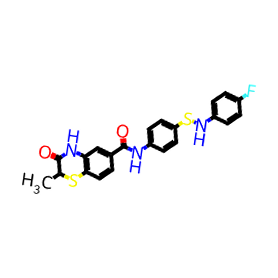 CC1Sc2ccc(C(=O)Nc3ccc(SNc4ccc(F)cc4)cc3)cc2NC1=O